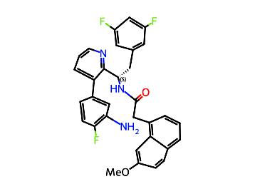 COc1ccc2cccc(CC(=O)N[C@@H](Cc3cc(F)cc(F)c3)c3ncccc3-c3ccc(F)c(N)c3)c2c1